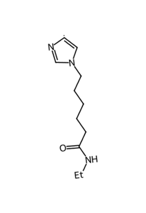 CCNC(=O)CCCCCn1c[c]nc1